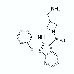 NCC1CN(C(=O)c2c(Nc3ccc(I)cc3F)sc3ncccc23)C1